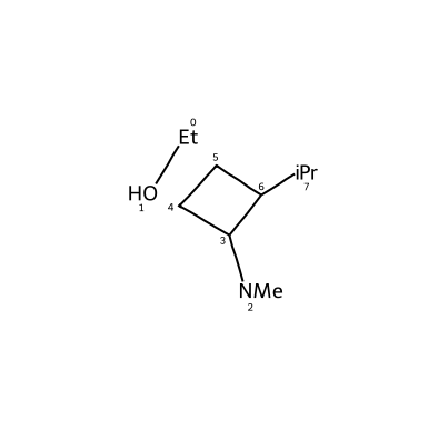 CCO.CNC1CCC1C(C)C